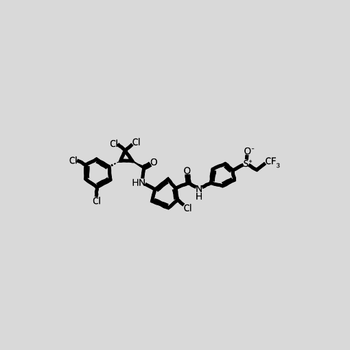 O=C(Nc1ccc([S+]([O-])CC(F)(F)F)cc1)c1cc(NC(=O)[C@H]2[C@H](c3cc(Cl)cc(Cl)c3)C2(Cl)Cl)ccc1Cl